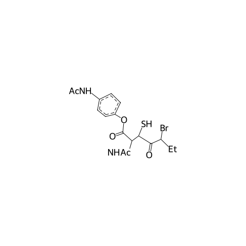 CCC(Br)C(=O)C(S)C(NC(C)=O)C(=O)Oc1ccc(NC(C)=O)cc1